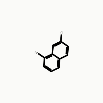 Clc1ccc2cccc(Br)c2c1